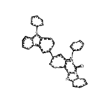 O=c1n(-c2ccccc2)c2cc(-c3ccc4c(c3)c3ccccc3n4-c3ccccc3)ccc2c2nc3ccccc3n12